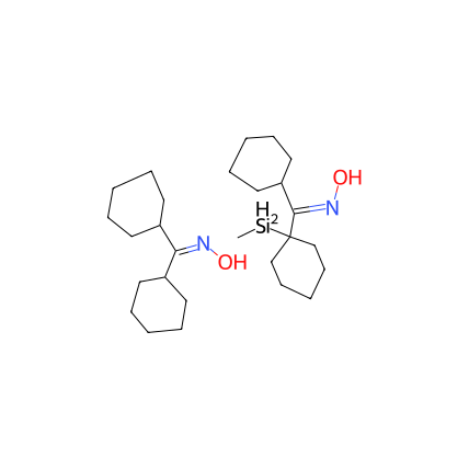 C[SiH2]C1(C(=NO)C2CCCCC2)CCCCC1.ON=C(C1CCCCC1)C1CCCCC1